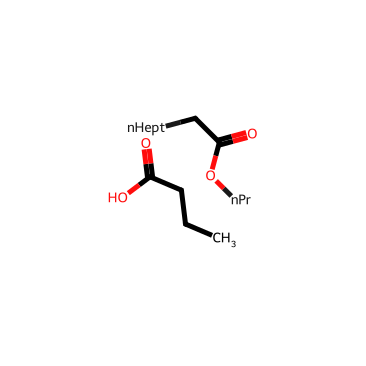 CCCC(=O)O.CCCCCCCCC(=O)OCCC